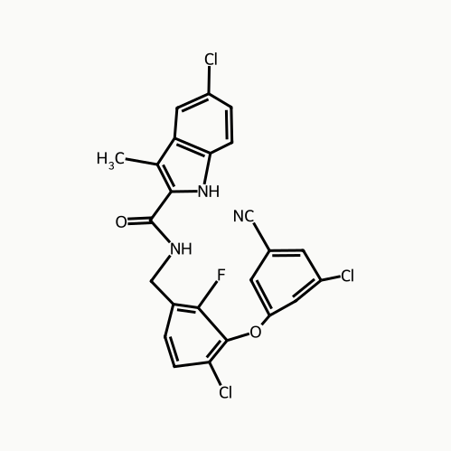 Cc1c(C(=O)NCc2ccc(Cl)c(Oc3cc(Cl)cc(C#N)c3)c2F)[nH]c2ccc(Cl)cc12